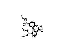 CCCC(CCC)c1ncc2c(=O)[nH]c3ccc(C(=O)OCC)cc3n12